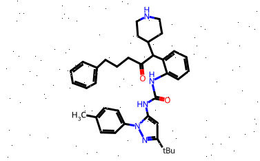 Cc1ccc(-n2nc(C(C)(C)C)cc2NC(=O)Nc2ccccc2C(C(=O)CCCc2ccccc2)C2CCNCC2)cc1